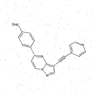 O=Cc1ccc(-c2ccn3ncc(C#Cc4ccncc4)c3n2)cc1